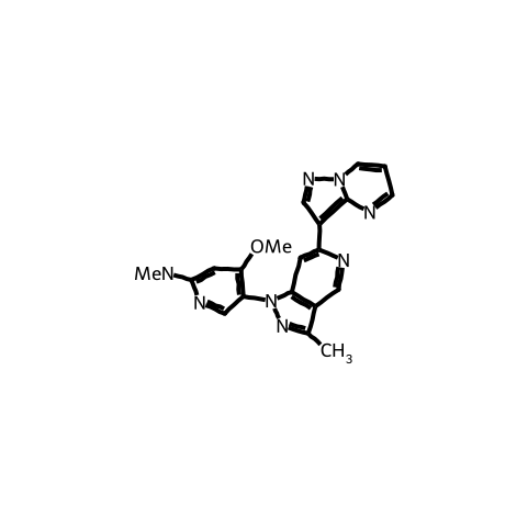 CNc1cc(OC)c(-n2nc(C)c3cnc(-c4cnn5cccnc45)cc32)cn1